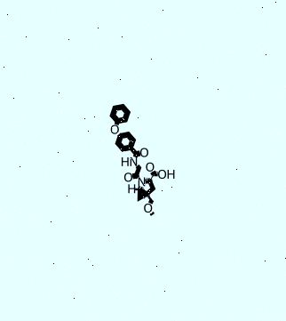 COC[C@@]12C[C@@H]1N(C(=O)CNC(=O)c1ccc(Oc3ccccc3)cc1)[C@H](C(=O)O)C2